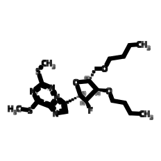 CCCCOC[C@H]1O[C@@H](c2cnc3c(SC)nc(SC)nn23)[C@H](F)[C@@H]1OCCCC